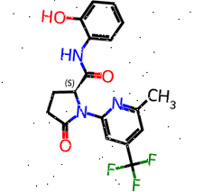 Cc1cc(C(F)(F)F)cc(N2C(=O)CC[C@H]2C(=O)Nc2ccccc2O)n1